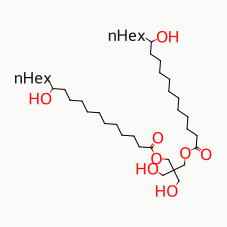 CCCCCCC(O)CCCCCCCCCCC(=O)OCC(CO)(CO)COC(=O)CCCCCCCCCCC(O)CCCCCC